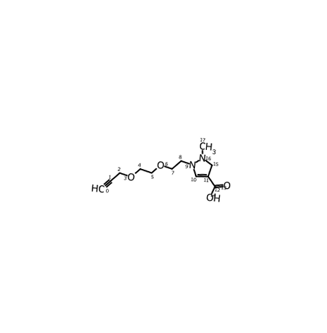 C#CCOCCOCCN1C=C(C(=O)O)CN1C